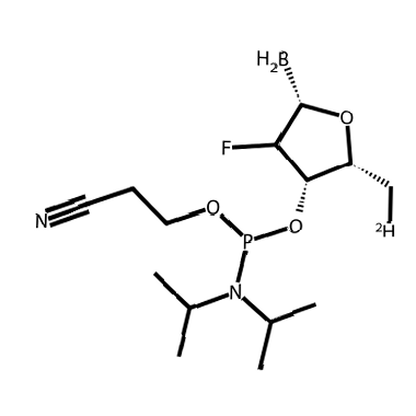 [2H]C[C@H]1O[C@@H](B)C(F)[C@H]1OP(OCCC#N)N(C(C)C)C(C)C